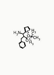 CC(C)(C)OC(=O)C(Cc1ccccc1)C(N)c1cccs1